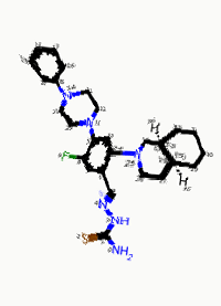 NC(=S)N/N=C/c1cc(F)c(N2CCN(c3ccccc3)CC2)cc1N1CC[C@@H]2CCCC[C@@H]2C1